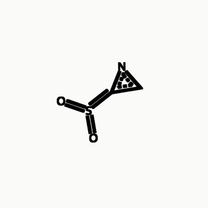 O=S(=O)=c1cn1